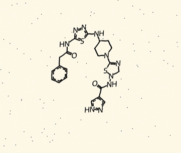 O=C(Cc1ccccc1)Nc1nnc(NC2CCN(C3=NCN(NC(=O)c4cn[nH]c4)S3)CC2)s1